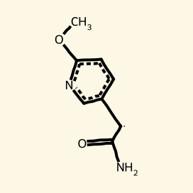 COc1ccc([CH]C(N)=O)cn1